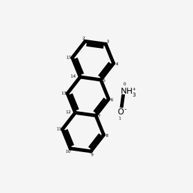 [NH3+][O-].c1ccc2cc3ccccc3cc2c1